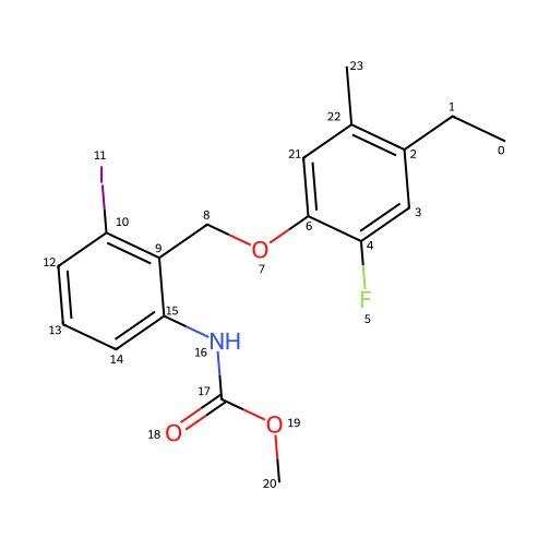 CCc1cc(F)c(OCc2c(I)cccc2NC(=O)OC)cc1C